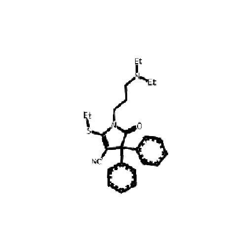 CCSC1=C(C#N)C(c2ccccc2)(c2ccccc2)C(=O)N1CCCN(CC)CC